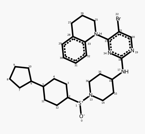 [O-][S+](C1CCC(C2CCCC2)CC1)N1CCC(Nc2ncc(Br)c(N3CCCc4ccccc43)n2)CC1